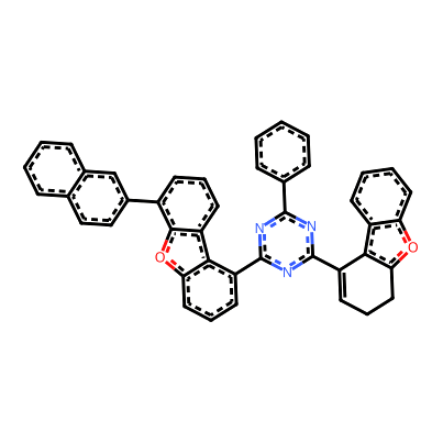 C1=C(c2nc(-c3ccccc3)nc(-c3cccc4oc5c(-c6ccc7ccccc7c6)cccc5c34)n2)c2c(oc3ccccc23)CC1